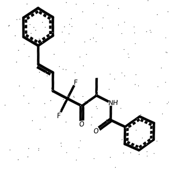 CC(NC(=O)c1ccccc1)C(=O)C(F)(F)CC=Cc1ccccc1